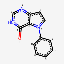 O=c1[nH]cnc2ccn(-c3ccccc3)c12